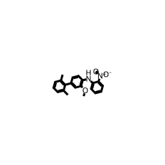 COc1cc(-c2c(C)cccc2C)ccc1Nc1ccccc1[N+](=O)[O-]